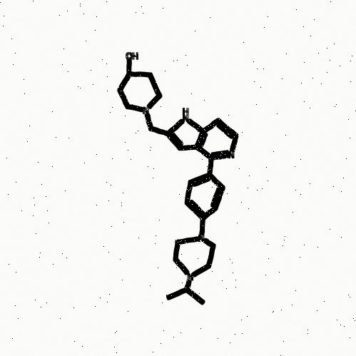 CC(C)N1CCN(c2ccc(-c3nccc4[nH]c(CN5CCC(O)CC5)cc34)cc2)CC1